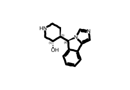 O[C@@H]1CNCC[C@H]1[C@@H]1c2ccccc2-c2cncn21